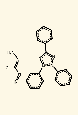 N=N/C=N/N.[Cl-].c1ccc(-c2nn(-c3ccccc3)[n+](-c3ccccc3)n2)cc1